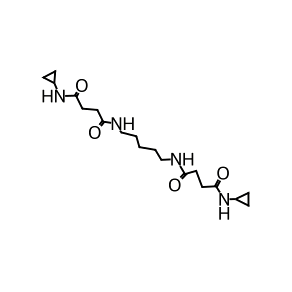 O=C(CCC(=O)NC1CC1)NCCCCCNC(=O)CCC(=O)NC1CC1